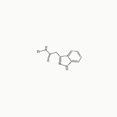 CCNC(=O)Cc1n[nH]c2ccccc12